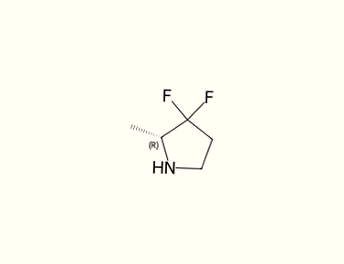 C[C@H]1NCCC1(F)F